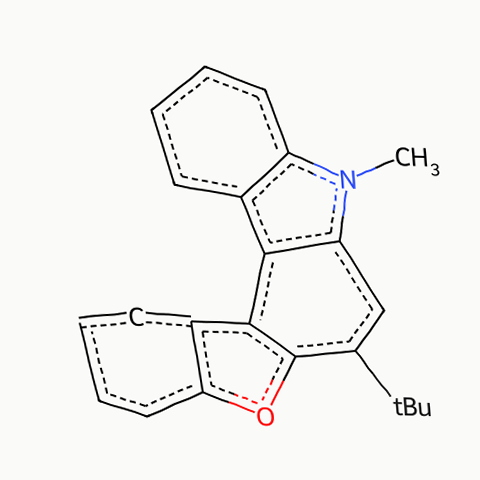 Cn1c2ccccc2c2c3c(oc4ccccc43)c(C(C)(C)C)cc21